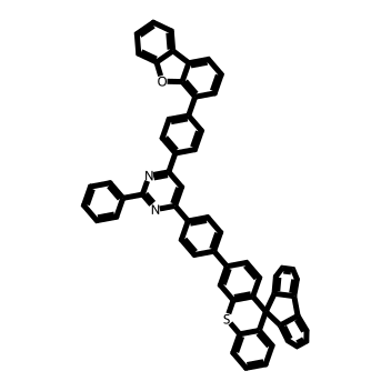 c1ccc(-c2nc(-c3ccc(-c4ccc5c(c4)Sc4ccccc4C54c5ccccc5-c5ccccc54)cc3)cc(-c3ccc(-c4cccc5c4oc4ccccc45)cc3)n2)cc1